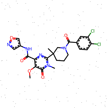 COc1c(C(=O)Nc2cnoc2)nc(C2(C)CCCN(C(=O)c3ccc(Cl)c(Cl)c3)C2)n(C)c1=O